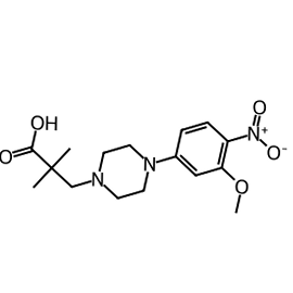 COc1cc(N2CCN(CC(C)(C)C(=O)O)CC2)ccc1[N+](=O)[O-]